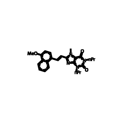 CCCn1c(=O)c2c(nc(C=Cc3ccc(OC)c4ccccc34)n2C)n(CCC)c1=O